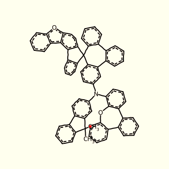 CC1(C)c2ccccc2-c2ccc(N(c3ccc4c(c3)-c3ccccc3-c3ccccc3C43c4ccccc4-c4c3ccc3oc5ccccc5c43)c3cccc4c3Oc3ccccc3-c3ccccc3-4)cc21